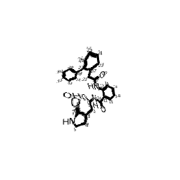 O=C[C@H](CC1CCNC1=O)NC(=O)c1ccccc1NC(=O)Cc1ccccc1-c1ccccc1